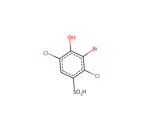 O=S(=O)(O)c1cc(Cl)c(O)c(Br)c1Cl